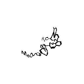 COCCOc1ccn2c(-c3ccc4cccc(N5CCN[C@H](C)C5)c4n3)cnc2c1